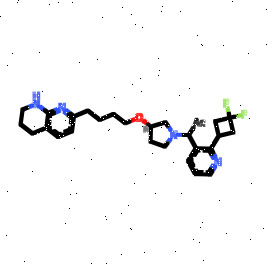 CC(=O)C(c1cccnc1C1CC(F)(F)C1)N1CC[C@@H](OCCCCc2ccc3c(n2)NCCC3)C1